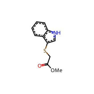 COC(=O)CSc1c[nH]c2ccccc12